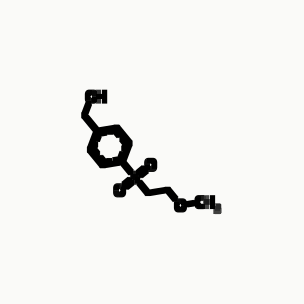 COCCS(=O)(=O)c1ccc(CO)cc1